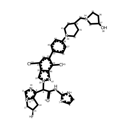 O=C(Nc1nccs1)C(c1ncn2c1C[C@@H](F)C2)n1cc2c(Cl)cc(-c3ccc(N4CCC(CN5CCC(O)C5)CC4)cc3)c(Cl)c2n1